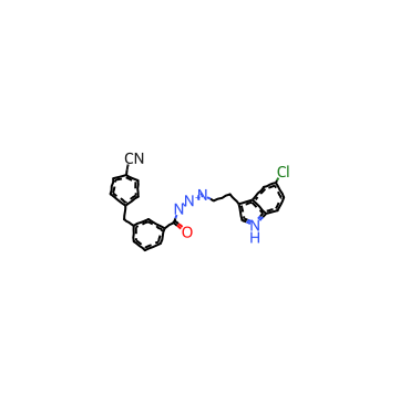 N#Cc1ccc(Cc2cccc(C(=O)N=[N+]=NCCc3c[nH]c4ccc(Cl)cc34)c2)cc1